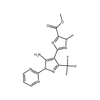 COC(=O)c1nc(-c2c(C(F)(F)F)nn(-c3ncccn3)c2N)nn1C